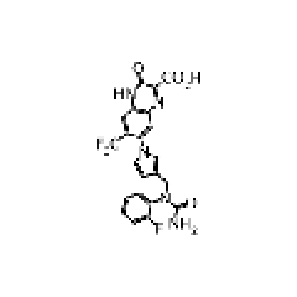 NC(=O)N(Cc1ccn(-c2cc3nc(C(=O)O)c(=O)[nH]c3cc2C(F)(F)F)c1)c1ccccc1F